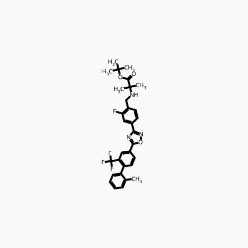 Cc1ccccc1-c1ccc(-c2nc(-c3ccc(CNC(C)(C)C(=O)OC(C)(C)C)c(F)c3)no2)cc1C(F)(F)F